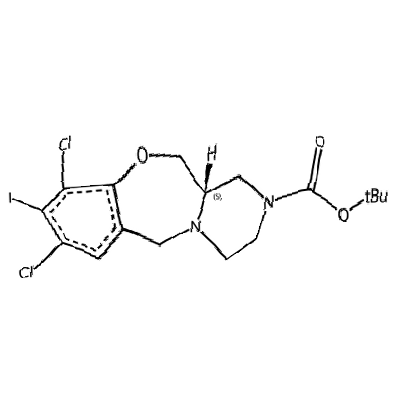 CC(C)(C)OC(=O)N1CCN2Cc3cc(Cl)c(I)c(Cl)c3OC[C@@H]2C1